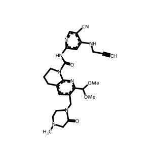 C#CCNc1cc(NC(=O)N2CCCc3cc(CN4CCN(C)CC4=O)c(C(OC)OC)nc32)ncc1C#N